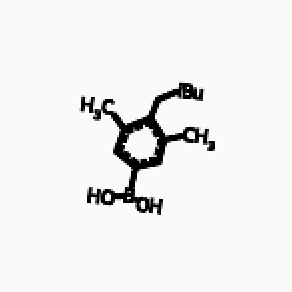 CCC(C)Cc1c(C)cc(B(O)O)cc1C